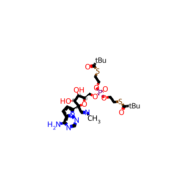 CN=C[C@@]1(c2ccc3c(N)ncnn23)O[C@H](COP(=O)(OCCSC(=O)C(C)(C)C)OCCSC(=O)C(C)(C)C)[C@@H](O)[C@H]1O